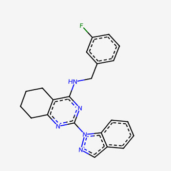 Fc1cccc(CNc2nc(-n3ncc4ccccc43)nc3c2CCCC3)c1